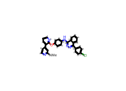 CNc1cc(-c2cccnc2Oc2ccc(Nc3nnc(-c4ccc(Cl)cc4)c4ccccc34)cc2)ccn1